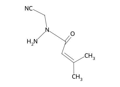 CC(C)=CC(=O)N(N)CC#N